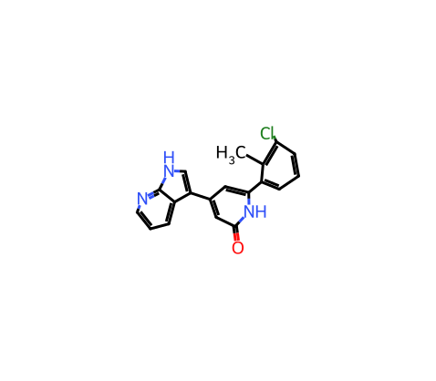 Cc1c(Cl)cccc1-c1cc(-c2c[nH]c3ncccc23)cc(=O)[nH]1